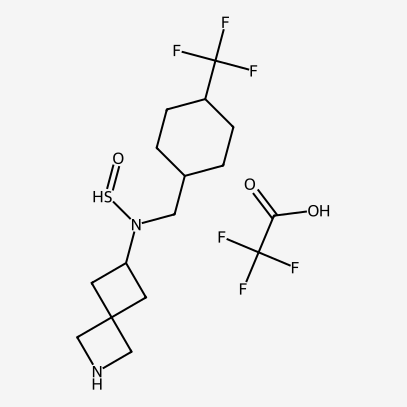 O=C(O)C(F)(F)F.O=[SH]N(CC1CCC(C(F)(F)F)CC1)C1CC2(CNC2)C1